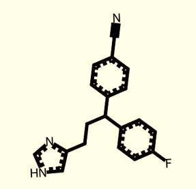 N#Cc1ccc(C(CCc2c[nH]cn2)c2ccc(F)cc2)cc1